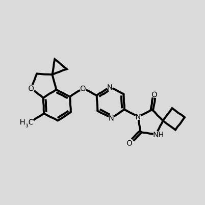 Cc1ccc(Oc2cnc(N3C(=O)NC4(CCC4)C3=O)cn2)c2c1OCC21CC1